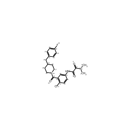 CN(C)C(=O)C(=O)Nc1ccc(Cl)c(C(=O)N2CCC(Cc3ccc(F)cc3)CC2)c1